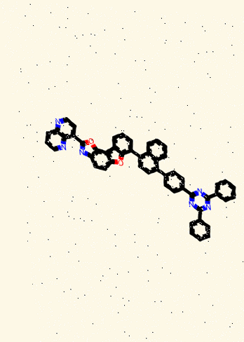 c1ccc(-c2nc(-c3ccccc3)nc(-c3ccc(-c4ccc(-c5cccc6c5oc5ccc7nc(-c8ccnc9cccnc89)oc7c56)c5ccccc45)cc3)n2)cc1